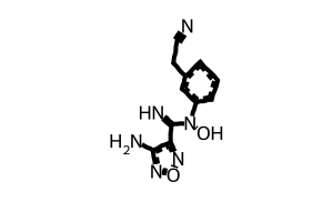 N#CCc1cccc(N(O)C(=N)c2nonc2N)c1